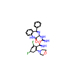 N=C(NC1N=C(c2ccccc2)c2ccccc2NC1=O)OC(=N)C1=C(N2CCOCC2)CC(F)C=C1F